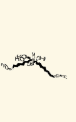 CCCCCCCCCCCCCCCCCC(O)C(=O)N[C@H](CO)[C@H](O)C(O)CCCCCCCCCCCCCC